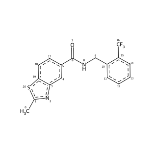 Cc1nc2cc(C(=O)NCc3ccccc3C(F)(F)F)ccc2s1